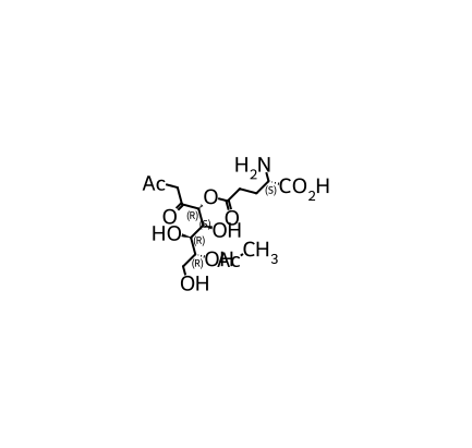 CC(=O)CC(=O)[C@H](OC(=O)CC[C@H](N)C(=O)O)[C@@H](O)[C@H](O)[C@H](O)CO.CC(C)=O